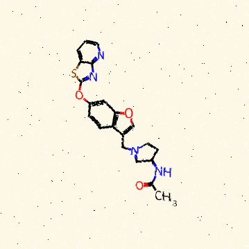 CC(=O)NC1CCN(Cc2coc3cc(Oc4nc5ncccc5s4)ccc23)C1